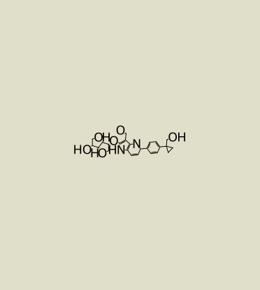 O=Cc1c(O[C@@H]2CO[C@H]3[C@@H]2OC[C@H]3O)[nH]c2ccc(-c3ccc(C4(CO)CC4)cc3)nc12